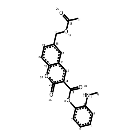 CNc1ccccc1OC(=O)c1cc2cc(COC(C)=O)ccc2oc1=O